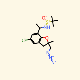 CC(N[S@+]([O-])C(C)(C)C)c1cc(Cl)cc2c1OC(C)(CN=[N+]=[N-])C2